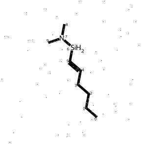 CCCCC=C[SiH2]N(C)C